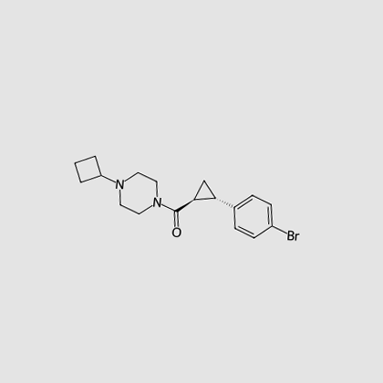 O=C([C@H]1C[C@@H]1c1ccc(Br)cc1)N1CCN(C2CCC2)CC1